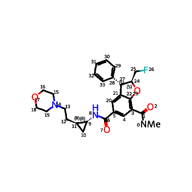 CNC(=O)c1cc(C(=O)N[C@@H]2C[C@H]2CCN2CCOCC2)cc2c1O[C@H](CF)[C@H]2c1ccccc1